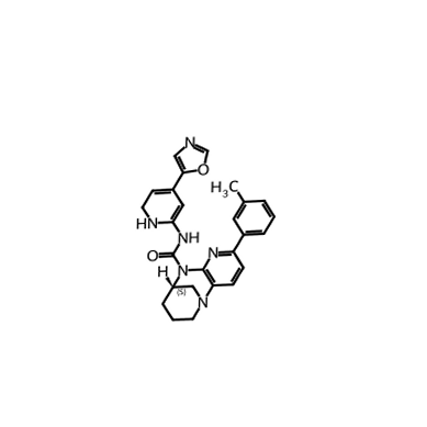 Cc1cccc(-c2ccc3c(n2)N(C(=O)NC2=CC(c4cnco4)=CCN2)[C@H]2CCCN3C2)c1